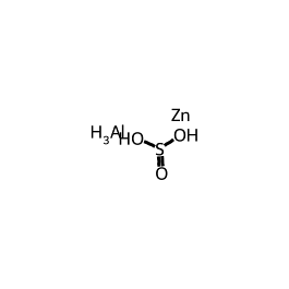 O=S(O)O.[AlH3].[Zn]